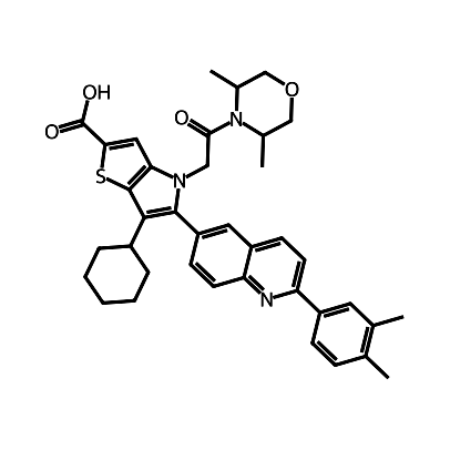 Cc1ccc(-c2ccc3cc(-c4c(C5CCCCC5)c5sc(C(=O)O)cc5n4CC(=O)N4C(C)COCC4C)ccc3n2)cc1C